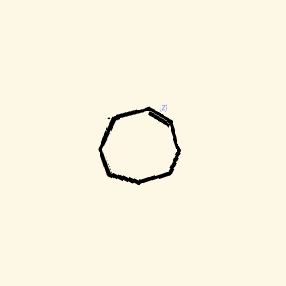 [CH]1/C=C\CCCCC1